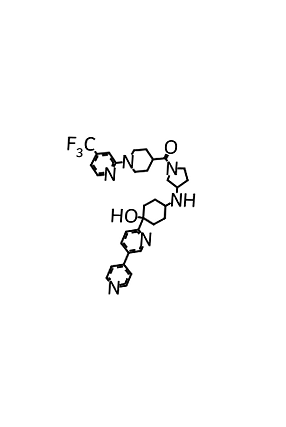 O=C(C1CCN(c2cc(C(F)(F)F)ccn2)CC1)N1CCC(NC2CCC(O)(c3ccc(-c4ccncc4)cn3)CC2)C1